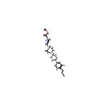 CCCc1ccc(C2CCC([C@H]3CC[C@H](/C=C/COC)CC3)CC2)cc1